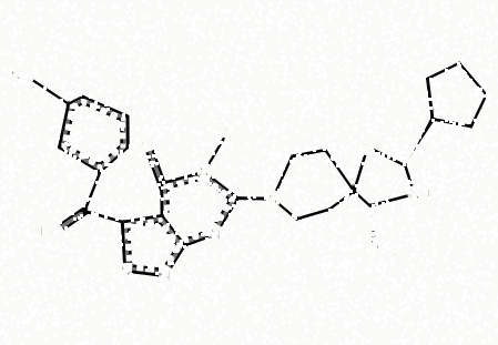 C=C(c1cccc(C#N)c1)c1n[nH]c2nc(N3CCC4(CC3)S[C@@H](C3CCCC3)N[C@@H]4N)n(C)c(=O)c12